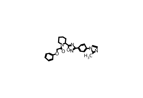 Cc1nccn1-c1ccc(-c2noc(C3CCCCN3C(=O)COc3ccccc3)n2)cc1